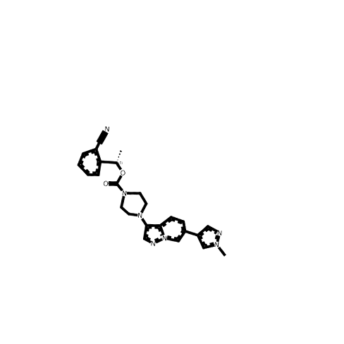 C[C@H](OC(=O)N1CCN(c2cnn3cc(-c4cnn(C)c4)ccc23)CC1)c1ccccc1C#N